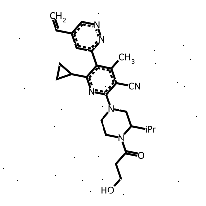 C=Cc1cnnc(-c2c(C3CC3)nc(N3CCN(C(=O)CCO)C(C(C)C)C3)c(C#N)c2C)c1